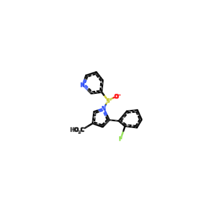 O=C(O)c1cc(-c2ccccc2F)n([S+]([O-])c2cccnc2)c1